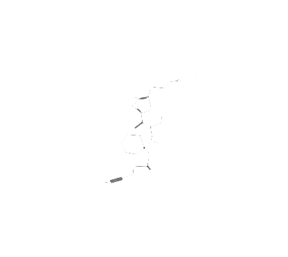 CC#CCOC(=O)NC1(N(C=O)C(CC(C)C)C(=O)c2nnc(SCCN(C)C)o2)CCCCC1